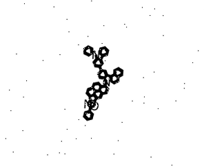 c1ccc(-c2nc3c(o2)-c2cc4ccc(-n5c6ccc(-c7ccc8c(c7)c7ccccc7n8-c7ccccc7)cc6c6c7ccccc7ccc65)c5ccc6ccc-3c2c6c45)cc1